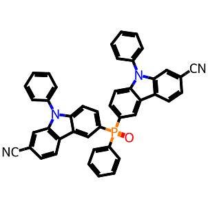 N#Cc1ccc2c3cc(P(=O)(c4ccccc4)c4ccc5c(c4)c4ccc(C#N)cc4n5-c4ccccc4)ccc3n(-c3ccccc3)c2c1